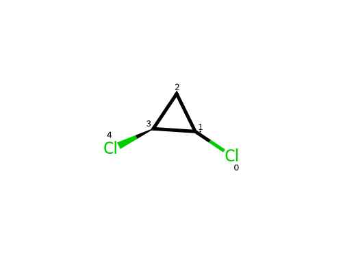 Cl[C]1C[C@@H]1Cl